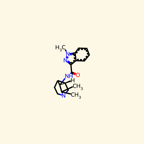 Cn1nc(C(=O)N[C@H]2C3CCN(CC3)C2(C)C)c2ccccc21